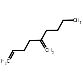 C=CCCC(=C)CCCC